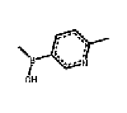 CB(O)c1ccc(C)nc1